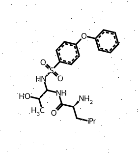 CC(C)C[C@H](N)C(=O)NC(NS(=O)(=O)c1ccc(Oc2ccccc2)cc1)C(C)O